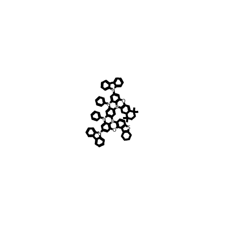 CC1(C)CCC(C)(C)C2CC3=C(C=C21)Oc1cc(-n2c4ccccc4c4ccccc42)cc2c1B3c1cc3c(cc1N2c1ccccc1)N(c1ccccc1)c1cc(-n2c4ccccc4c4ccccc42)cc2c1B3c1ccc3sc4c(c3c1O2)CCCC4